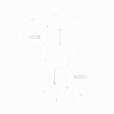 O=C1c2cc3c(cc2C(=O)C1(O)O)C(=O)C(O)(O)C3=O